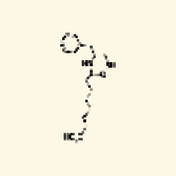 O=C(O)CCCCCCC(=O)NC(CS)Cc1ccccc1